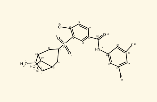 C[C@H]1CC2CC(S(=O)(=O)c3cc(C(=O)Nc4cc(F)cc(F)c4)ccc3Cl)CC1[C@]2(C)O